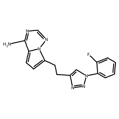 Nc1ncnn2c(CCc3cn(-c4ccccc4F)nn3)ccc12